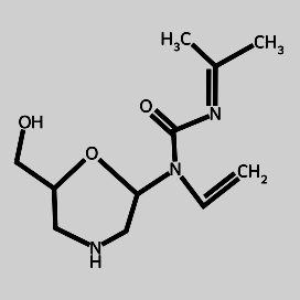 C=CN(C(=O)N=C(C)C)C1CNCC(CO)O1